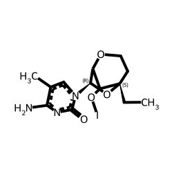 CC[C@]12CCOC(C1OI)[C@H](n1cc(C)c(N)nc1=O)O2